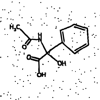 CC(=O)NC(O)(C(=O)O)c1ccccc1